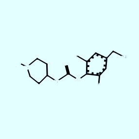 NCc1cc(F)c(NC(=O)NC2CCN(C(=O)O)CC2)c(I)c1